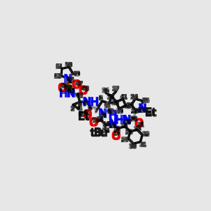 CC[C@@H]1C[C@]1(NC(=O)[C@@H]1C[C@@]2(CN1C(=O)[C@@H](NC(=O)[C@@H](NC(=O)[C@@H]1CCCN1CC)C1CCCCC1)C(C)(C)C)C(C)(C)C21CCC1)C(=O)NS(=O)(=O)N1CCCC1